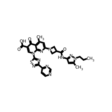 CCCn1nc(NC(=O)C2CN(c3cc(C)c4c(=O)c(C(=O)O)cn(-c5nc(-c6ccncn6)ns5)c4n3)C2)cc1C